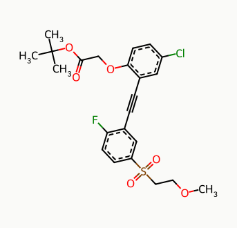 COCCS(=O)(=O)c1ccc(F)c(C#Cc2cc(Cl)ccc2OCC(=O)OC(C)(C)C)c1